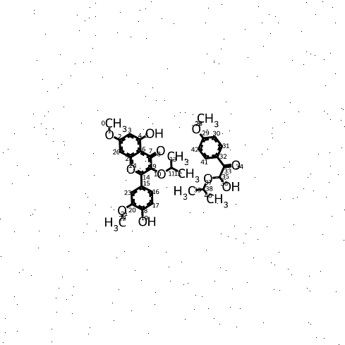 COc1cc(O)c2c(=O)c(OC(C)C)c(-c3ccc(O)c(OC)c3)oc2c1.COc1ccc(C(=O)C(O)OC(C)C)cc1